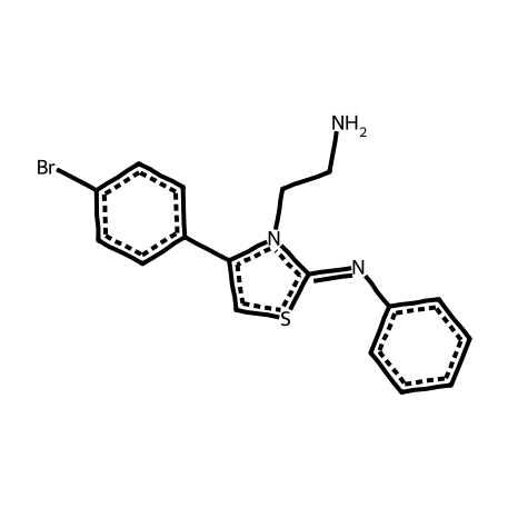 NCCn1c(-c2ccc(Br)cc2)csc1=Nc1ccccc1